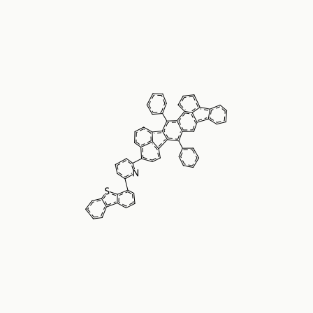 c1ccc(-c2c3cc4c5ccccc5c5cccc(c3c(-c3ccccc3)c3c6cccc7c(-c8cccc(-c9cccc%10c9sc9ccccc9%10)n8)ccc(c23)c76)c54)cc1